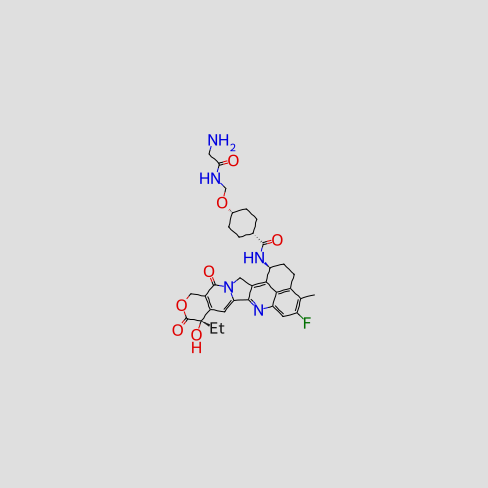 CC[C@@]1(O)C(=O)OCc2c1cc1n(c2=O)Cc2c-1nc1cc(F)c(C)c3c1c2[C@@H](NC(=O)[C@H]1CC[C@@H](OCNC(=O)CN)CC1)CC3